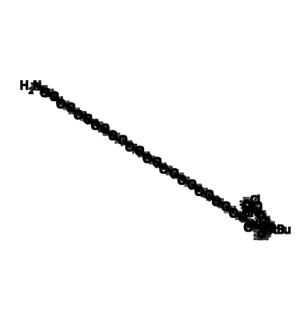 CC(C)(C)OC[C@H](Cc1ccc(NC(=O)c2c(Cl)cccc2Cl)cc1)NC(=O)C1(CCNC(=O)CCOCCOCCOCCOCCOCCOCCOCCOCCOCCOCCOCCOCCOCCOCCOCCOCCOCCOCCOCCOCCOCCOCCOCCOCCN)CCCC1